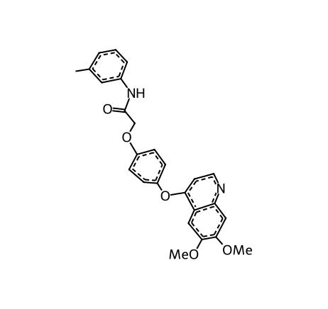 COc1cc2nccc(Oc3ccc(OCC(=O)Nc4cccc(C)c4)cc3)c2cc1OC